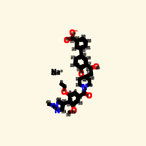 CCOc1cc(C(=O)N2CCC3(CC2)CC(=O)c2cc(-c4cccc(C(=O)[O-])c4)ccc2O3)cc(OC)c1-c1cnn(C)c1.[Na+]